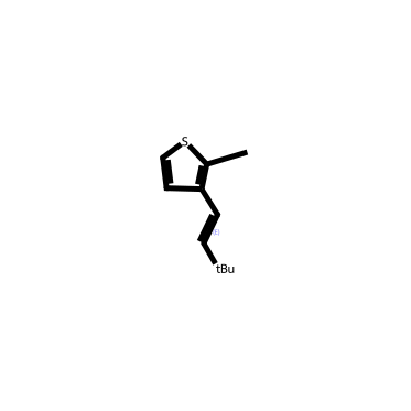 Cc1sccc1/C=C/C(C)(C)C